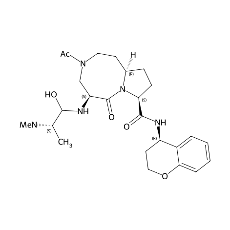 CN[C@@H](C)C(O)N[C@H]1CN(C(C)=O)CC[C@H]2CC[C@@H](C(=O)N[C@@H]3CCOc4ccccc43)N2C1=O